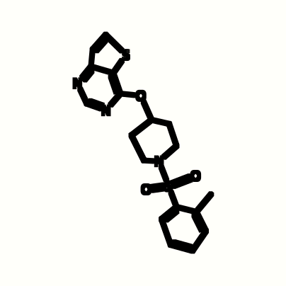 Cc1ccccc1S(=O)(=O)N1CCC(Oc2ncnc3ccsc23)CC1